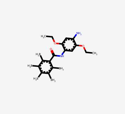 Bc1c(B)c(B)c(C(=O)Nc2cc(OCC)c(N)cc2OCC)c(B)c1B